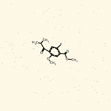 COC(=O)c1cc(OC)c(C(=O)C(C)C)cc1F